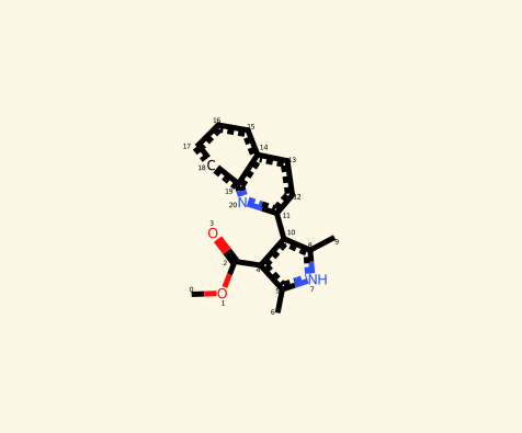 COC(=O)c1c(C)[nH]c(C)c1-c1ccc2ccccc2n1